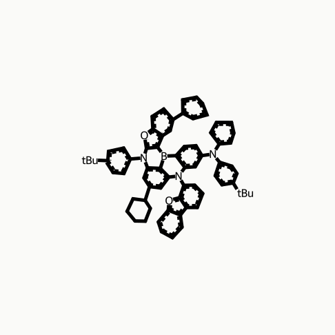 CC(C)(C)c1ccc(N(c2ccccc2)c2ccc3c(c2)N(c2cccc4c2oc2ccccc24)c2cc(C4CCCCC4)cc4c2B3c2c(oc3ccc(-c5ccccc5)cc23)N4c2ccc(C(C)(C)C)cc2)cc1